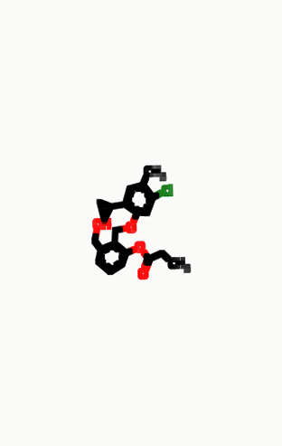 CCC(=O)Oc1cccc(CO)c1COc1cc(Cl)c(C)cc1C1CC1